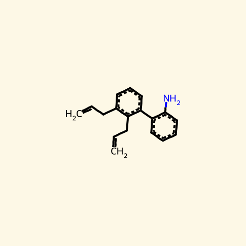 C=CCc1cccc(-c2ccccc2N)c1CC=C